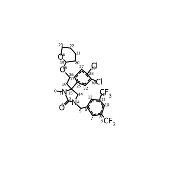 CN1C(=O)N(Cc2cc(C(F)(F)F)cc(C(F)(F)F)c2)CC1(CCOC1CCCCO1)c1ccc(Cl)c(Cl)c1